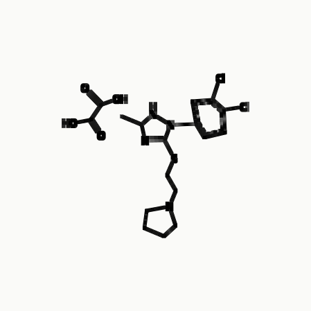 CC1N=C(SCCN2CCCC2)N(c2ccc(Cl)c(Cl)c2)N1.O=C(O)C(=O)O